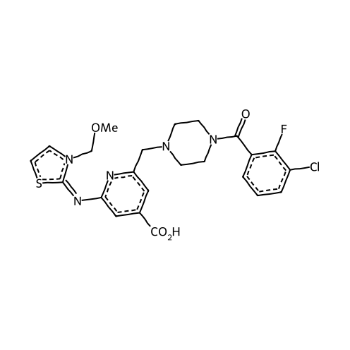 COCn1ccsc1=Nc1cc(C(=O)O)cc(CN2CCN(C(=O)c3cccc(Cl)c3F)CC2)n1